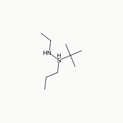 CCC[SiH](NCC)C(C)(C)C